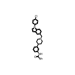 CC(C)C(=O)Nc1cccc(C2CCN(Cc3ccc4c(ccn4-c4ccc(Cl)cc4)c3)CC2)c1